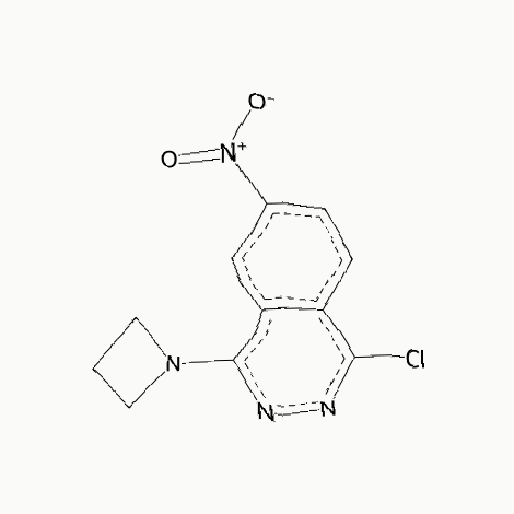 O=[N+]([O-])c1ccc2c(Cl)nnc(N3CCC3)c2c1